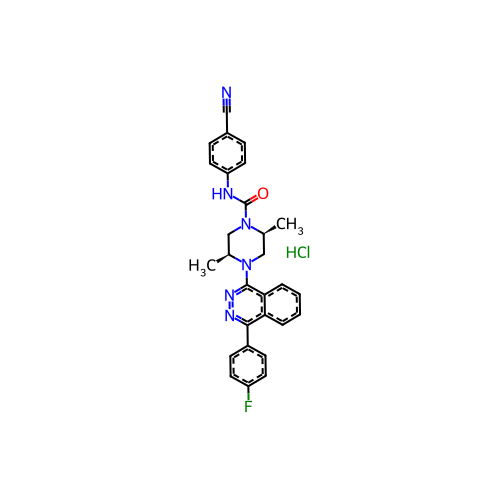 C[C@H]1CN(c2nnc(-c3ccc(F)cc3)c3ccccc23)[C@@H](C)CN1C(=O)Nc1ccc(C#N)cc1.Cl